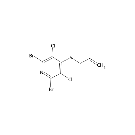 C=CCSc1c(Cl)c(Br)nc(Br)c1Cl